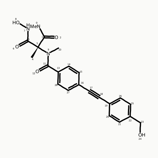 CNC(=O)[C@@](C)(C(=O)NO)N(C)C(=O)c1ccc(C#Cc2ccc(CO)cc2)cc1